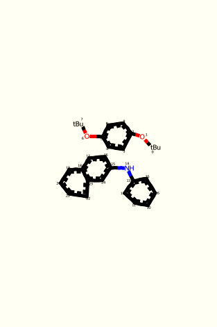 CC(C)(C)Oc1ccc(OC(C)(C)C)cc1.c1ccc(Nc2ccc3ccccc3c2)cc1